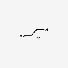 SCCS.[Fe]